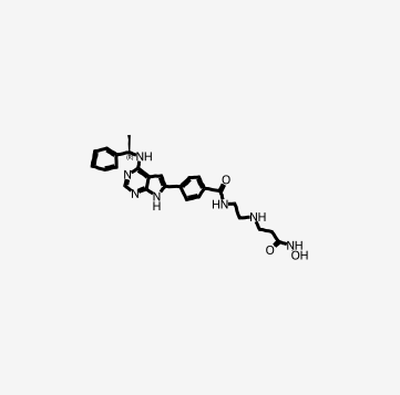 C[C@@H](Nc1ncnc2[nH]c(-c3ccc(C(=O)NCCNCCC(=O)NO)cc3)cc12)c1ccccc1